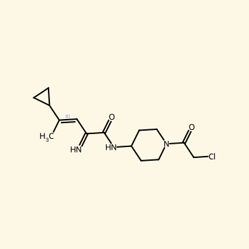 C/C(=C\C(=N)C(=O)NC1CCN(C(=O)CCl)CC1)C1CC1